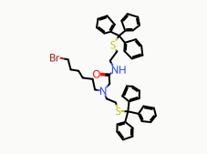 O=C(CN(CCCCCCBr)CCSC(c1ccccc1)(c1ccccc1)c1ccccc1)NCCSC(c1ccccc1)(c1ccccc1)c1ccccc1